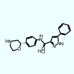 Cl.O=C(Nc1ccc([C@H]2CNCCO2)cc1)c1cc(-c2ccccc2)[nH]n1